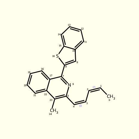 C/C=C\C=C/c1nc(-c2cc3ccccc3s2)c2ccccc2c1C